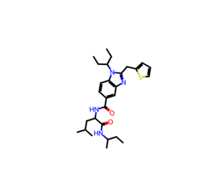 CCC(C)NC(=O)C(CC(C)C)NC(=O)c1ccc2c(c1)nc(Cc1cccs1)n2C(CC)CC